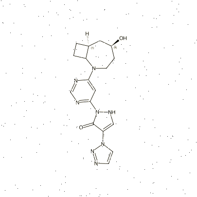 O=c1c(-n2ccnn2)c[nH]n1-c1cc(N2CC[C@H](O)C[C@@H]3CCC32)ncn1